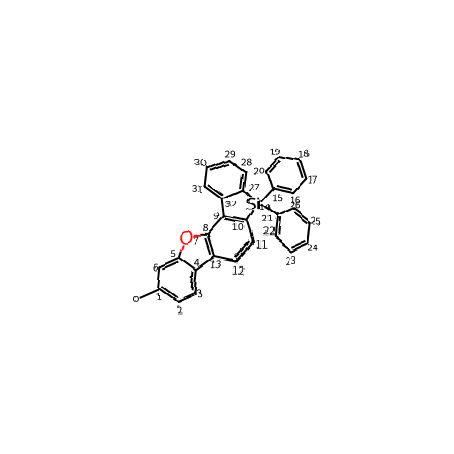 Cc1ccc2c(c1)oc1c3c(ccc12)[Si](c1ccccc1)(c1ccccc1)c1ccccc1-3